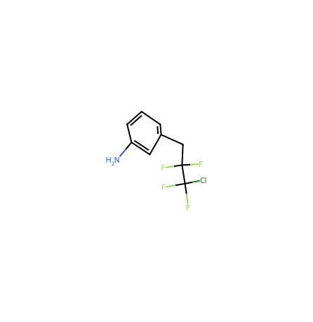 Nc1cccc(CC(F)(F)C(F)(F)Cl)c1